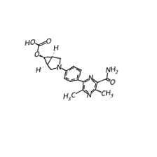 Cc1nc(C)c(-c2ccc(N3C[C@@H]4[C@H](C3)[C@@H]4OC(=O)O)cc2)nc1C(N)=O